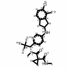 CNC(=O)C1(C(=O)N(C)[C@@H](c2ccc(NC3Cc4ccc(Cl)c(F)c4C3)cn2)C(F)(F)F)CC1